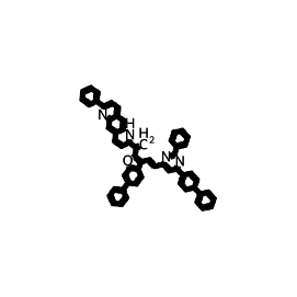 C=C(C(=N)/C=C\c1ccc2ccc(-c3ccccc3)nc2c1)c1oc2cc(-c3ccccc3)ccc2c1/C=C/c1cc(C2=CCC(c3ccccc3)C=C2)nc(-c2ccccc2)n1